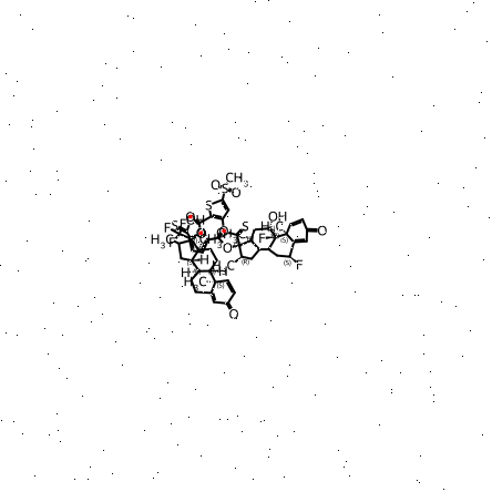 CC1C[C@H]2[C@@H]3CCC4=CC(=O)C=C[C@]4(C)[C@H]3CC[C@]2(C)[C@@]1(OC(=O)c1sc(S(C)(=O)=O)cc1OC(=S)[C@@]1(OC(=O)c2ccc(C(F)(F)F)o2)[C@H](C)CC2C3C[C@H](F)C4=CC(=O)C=C[C@]4(C)[C@@]3(F)[C@@H](O)C[C@@]21C)C(O)=S